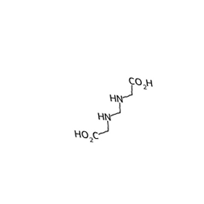 O=C(O)CNCNCC(=O)O